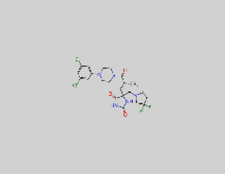 CC(CC1(CN2CCC(F)(F)C2)NC(=O)NC1=O)C(=O)N1CCN(c2cc(Cl)cc(Cl)c2)CC1